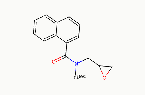 CCCCCCCCCCN(CC1CO1)C(=O)c1cccc2ccccc12